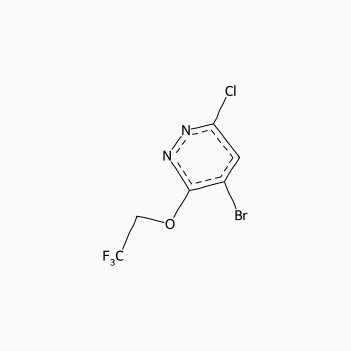 FC(F)(F)COc1nnc(Cl)cc1Br